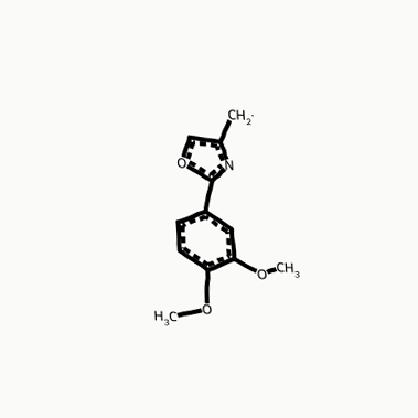 [CH2]c1coc(-c2ccc(OC)c(OC)c2)n1